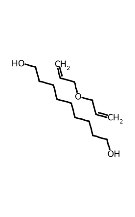 C=CCOCC=C.OCCCCCCCCCO